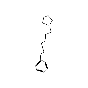 c1ccc(SCCNCCN2CCCC2)cc1